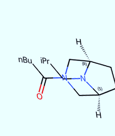 CCCCC(=O)N1C[C@H]2CC[C@@H](C1)N2CC(C)C